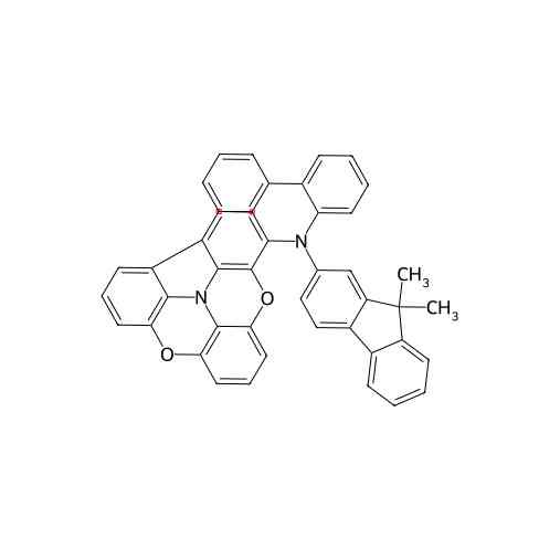 CC1(C)c2ccccc2-c2ccc(N(c3ccccc3-c3ccccc3)c3ccc4c5cccc6c5n5c4c3Oc3cccc(c3-5)O6)cc21